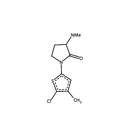 CNC1CCN(c2cc(C)c(Cl)s2)C1=O